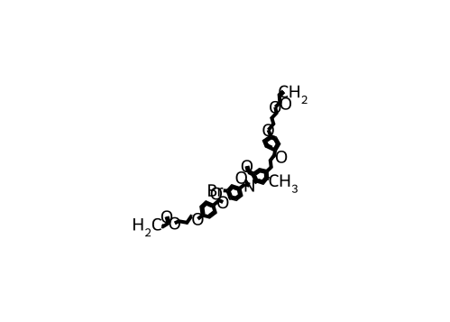 C=CC(=O)OCCCOC1=C=C=C(C(=O)Oc2ccc(-c3nc4cc(C)c(CCC(=O)c5ccc(OCCCOC(=O)C=C)cc5)cc4c(=O)o3)cc2Br)C=C1